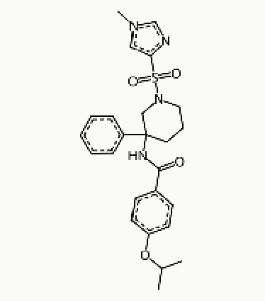 CC(C)Oc1ccc(C(=O)NC2(c3ccccc3)CCCN(S(=O)(=O)c3cn(C)cn3)C2)cc1